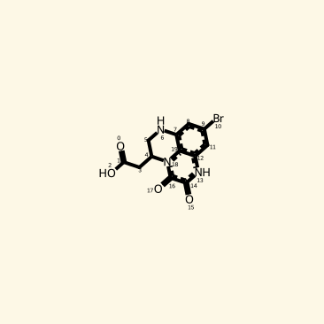 O=C(O)CC1CNc2cc(Br)cc3[nH]c(=O)c(=O)n1c23